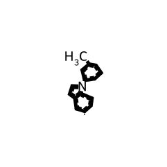 Cc1cccc(-n2ccc3c[c]ccc32)c1